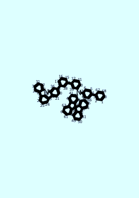 c1ccc(-c2ccc(N(c3cccc(-c4cccc(-c5ccc6c7cccc8c9ccccc9n(c6c5)c87)c4)c3)c3ccc4c(c3)C3(c5ccccc5-c5ccccc53)c3ccccc3-4)cc2)cc1